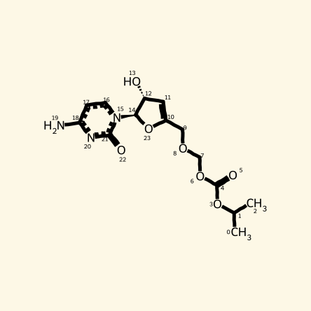 CC(C)OC(=O)OCOCC1=C[C@@H](O)[C@H](n2ccc(N)nc2=O)O1